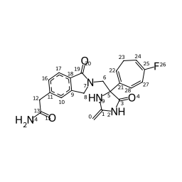 C=C1NC(=O)C(CN2Cc3cc(CC(N)=O)ccc3C2=O)(C2=CCC=C(F)C=C2)N1